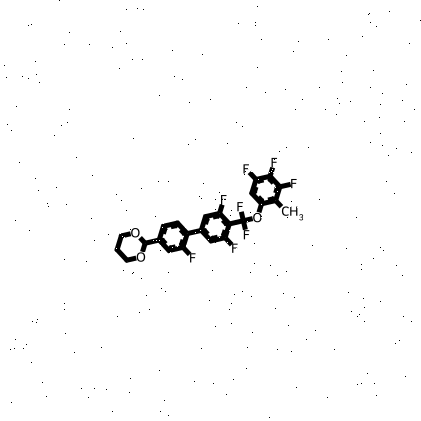 Cc1c(OC(F)(F)c2c(F)cc(-c3ccc(C4OCCCO4)cc3F)cc2F)cc(F)c(F)c1F